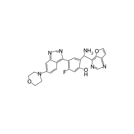 NC(c1cc(-c2ncnc3cc(N4CCOCC4)ccc23)c(F)cc1O)c1ncnc2ccoc12